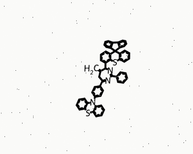 C=C1CC(c2ccc(N3c4ccccc4Sc4ccccc43)cc2)=NC(c2ccccc2)=NC1c1cccc2c1Sc1ccccc1C21c2ccccc2-c2ccccc21